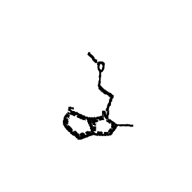 COCCn1c(C)cc2ccsc21